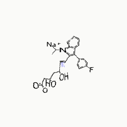 CC(C)n1c(/C=C/C(O)CC(O)CC(=O)[O-])c(-c2ccc(F)cc2)c2ccccc21.[Na+]